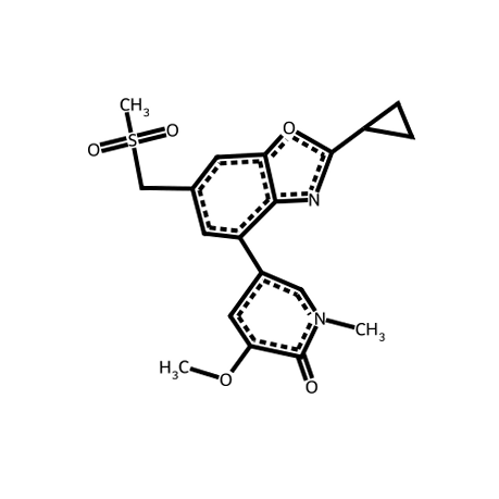 COc1cc(-c2cc(CS(C)(=O)=O)cc3oc(C4CC4)nc23)cn(C)c1=O